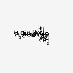 CCCS(=O)(=O)C(NC(=O)Nc1cnc2c(ccn2COCC[Si](C)(C)C)n1)C1CCCN1